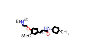 CCN(CC)CCOc1ccc(/C=C/C(=O)N[C@H]2CC[C@H](C)CC2)cc1OC